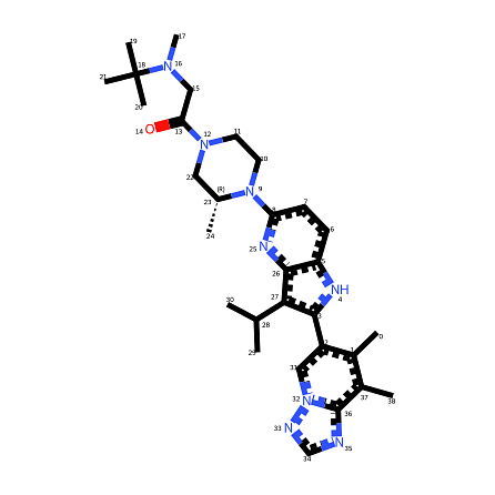 Cc1c(-c2[nH]c3ccc(N4CCN(C(=O)CN(C)C(C)(C)C)C[C@H]4C)nc3c2C(C)C)cn2ncnc2c1C